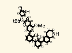 COc1nc(-c2cccc(-c3cccc(-c4ccc5c(c4)CCCNC5)c3Cl)c2Cl)ccc1CN(C[C@@H]1CCC(=O)N1)C(=O)OC(C)(C)C